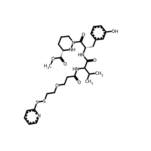 COC(=O)[C@@H]1CCCN(C(=O)[C@H](Cc2cccc(O)c2)NC(=O)C(NC(=O)CCOCCSSc2ccccn2)C(C)C)N1